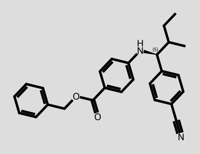 CCC(C)[C@H](Nc1ccc(C(=O)OCc2ccccc2)cc1)c1ccc(C#N)cc1